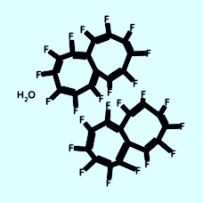 Fc1c(F)c(F)c(F)c2c(F)c(F)c(F)c(F)c(F)c(F)c-2c(F)c1F.Fc1c(F)c(F)c(F)c2c(F)c(F)c(F)c(F)c(F)c(F)c-2c(F)c1F.O